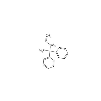 C=C[SiH2]C(C)(c1ccccc1)c1ccccc1